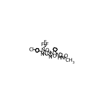 CC(=O)N[C@H]1CCN(C(=O)c2ccccc2-n2cnc(Cn3nc(-c4ccc(Cl)cc4)n(CCC(F)(F)F)c3=O)n2)C1